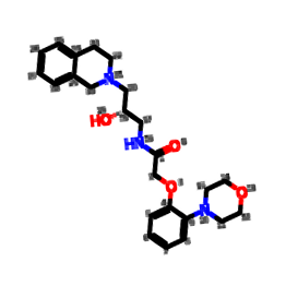 O=C(COc1ccccc1N1CCOCC1)NC[C@H](O)CN1CCc2ccccc2C1